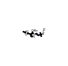 CC(C)COc1c(C2OC(C)O2)cnn1/C=C/C(C)(C)N=C=O